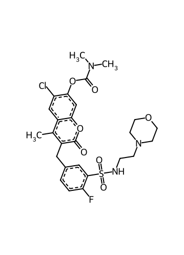 Cc1c(Cc2ccc(F)c(S(=O)(=O)NCCN3CCOCC3)c2)c(=O)oc2cc(OC(=O)N(C)C)c(Cl)cc12